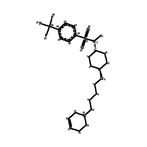 CN([C@H]1CC[C@H](OCCCCN2CC=CCC2)CC1)S(=O)(=O)c1ccc(C(F)(F)F)cc1